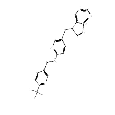 FC(F)(F)c1ccc(CNc2ccc(CC3CNc4ncncc43)cn2)cn1